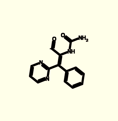 NC(=O)NC([C]=O)=C(c1ccccc1)c1ncccn1